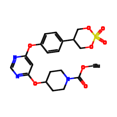 CC(C)(C)OC(=O)N1CCC(Oc2cc(Oc3ccc(C4COS(=O)(=O)OC4)cc3)ncn2)CC1